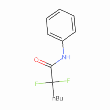 CCCCC(F)(F)C(=O)Nc1ccccc1